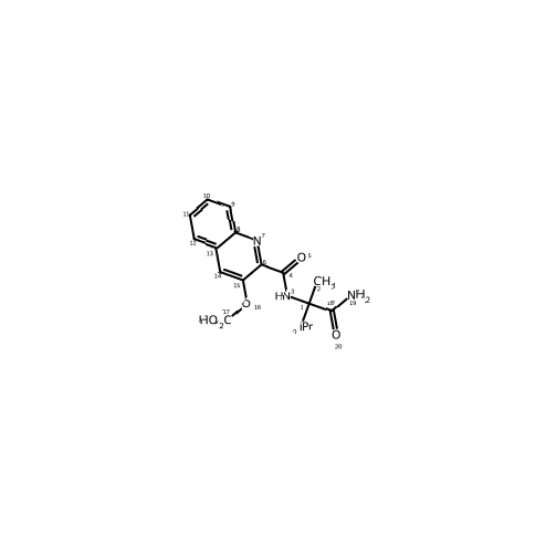 CC(C)C(C)(NC(=O)c1nc2ccccc2cc1OC(=O)O)C(N)=O